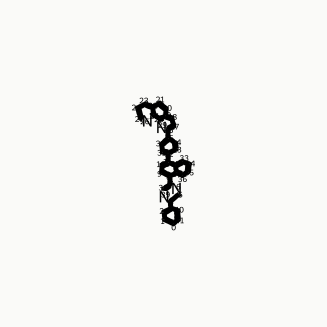 c1ccc(-c2cnc(-c3ccc(-c4ccc(-c5ccc6ccc7cccnc7c6n5)cc4)c4ccccc34)cn2)cc1